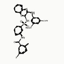 COc1cc(Nc2nc3ccccc3nc2NS(=O)(=O)c2cccc(NC(=O)c3cc(F)ccc3C)c2)cc(OC)c1